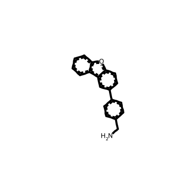 NCc1ccc(-c2ccc3oc4ccccc4c3c2)cc1